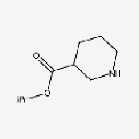 CC(C)OC(=O)C1CCCNC1